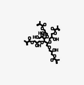 C=C(C)C(=O)OCC(O)COCC(OCC(O)COC(=O)C(=C)C)C(OCC(O)COC(=O)C(=C)C)C(OCC(O)COC(=O)C(=C)C)C(O)CO